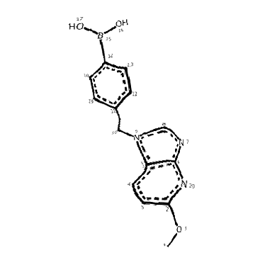 COc1ccc2c(ncn2Cc2ccc(B(O)O)cc2)n1